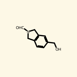 O=CN1Cc2ccc(CO)cc2C1